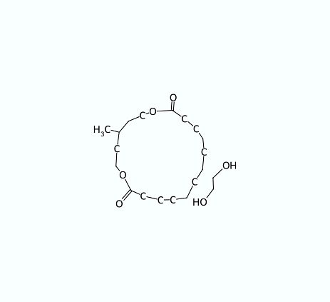 CC1CCOC(=O)CCCCCCCCCCC(=O)OCC1.OCCO